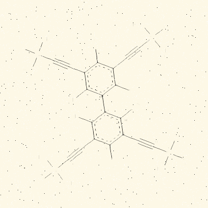 C[Si](C)(C)C#Cc1c(F)c(C#C[Si](C)(C)C)c(F)c(-c2c(F)c(C#C[Si](C)(C)C)c(F)c(C#C[Si](C)(C)C)c2F)c1F